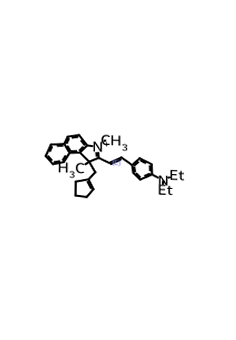 CCN(CC)c1ccc(/C=C/C2=[N+](C)c3ccc4ccccc4c3C2(C)CC2=CCCC2)cc1